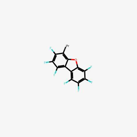 CC(C)c1c(F)c(F)c(F)c2c1oc1c(F)c(F)c(F)c(F)c12